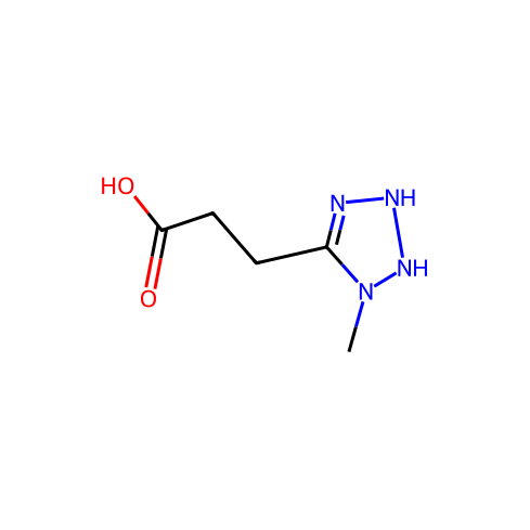 CN1NNN=C1CCC(=O)O